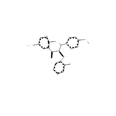 COc1ccc(C2Oc3ccc(O)cc3C(=O)C2=Cc2ccccc2C)cc1